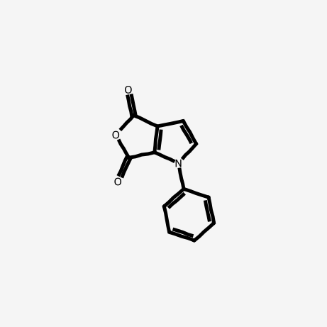 O=C1OC(=O)c2c1ccn2-c1ccccc1